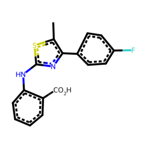 Cc1sc(Nc2ccccc2C(=O)O)nc1-c1ccc(F)cc1